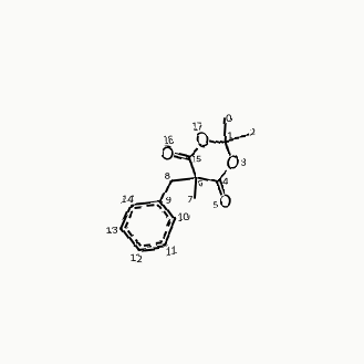 CC1(C)OC(=O)C(C)(Cc2ccccc2)C(=O)O1